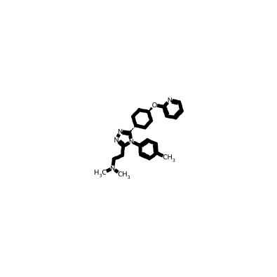 Cc1ccc(-n2c(CCN(C)C)nnc2[C@H]2CC[C@H](Oc3ccccn3)CC2)cc1